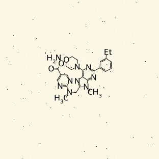 CCc1cccc(-c2nc(N3CCOCC3)c3nc(CN(C)c4ncc(C(=O)ON)cn4)n(C)c3n2)c1